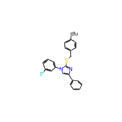 CC(C)(C)c1ccc(CSc2nc(-c3ccccc3)cn2-c2cccc(F)c2)cc1